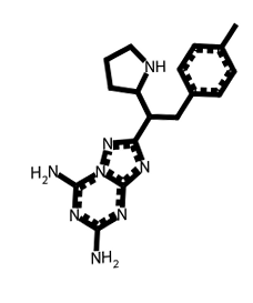 Cc1ccc(CC(c2nc3nc(N)nc(N)n3n2)C2CCCN2)cc1